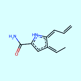 C=C/C=c1/[nH]c(C(N)=O)c/c1=C/C